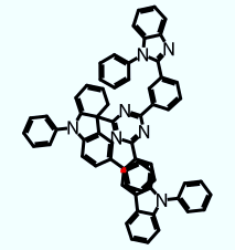 C1=CCC2(c3nc(-c4ccccc4)nc(-c4cccc(-c5nc6ccccc6n5-c5ccccc5)c4)n3)C(=C1)N(c1ccccc1)c1ccc(-c3ccc4c(c3)c3ccccc3n4-c3ccccc3)cc12